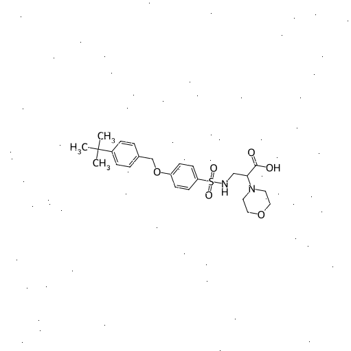 CC(C)(C)c1ccc(COc2ccc(S(=O)(=O)NCC(C(=O)O)N3CCOCC3)cc2)cc1